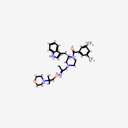 C/C(CN1CCN(C(=O)c2cc(C(F)(F)F)cc(C(F)(F)F)c2)[C@H](Cc2c[nH]c3ccccc23)C1)=N\OCC(C)(C)N1CCOCC1